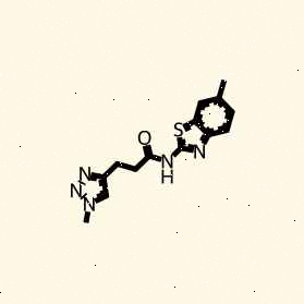 Cc1ccc2nc(NC(=O)CCc3cn(C)nn3)sc2c1